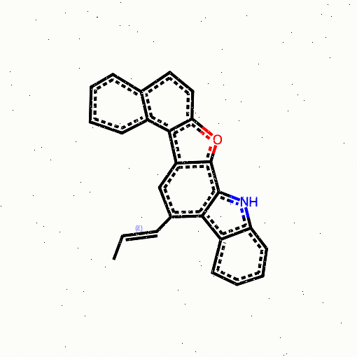 C/C=C/c1cc2c(oc3ccc4ccccc4c32)c2[nH]c3ccccc3c12